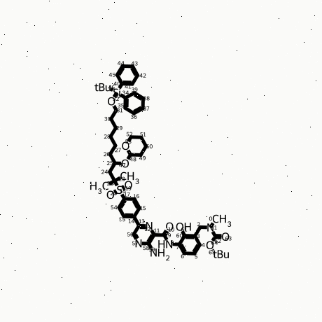 CN(Cc1cccc(NC(=O)c2nc(-c3ccc(S(=O)(=O)C(C)(C)CC(CCCCCCO[Si](c4ccccc4)(c4ccccc4)C(C)(C)C)OC4CCCCO4)cc3)cnc2N)c1O)C(=O)OC(C)(C)C